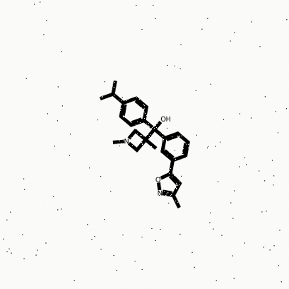 Cc1cc(-c2cccc(C(O)(c3ccc(C(C)C)cc3)C3(C)CN(C)C3)c2)on1